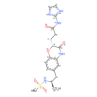 CCCCS(=O)(=O)N[C@@H](Cc1ccc2c(c1)NC(=O)[C@@H](CCC(=O)Nc1ncc[nH]1)O2)C(=O)O